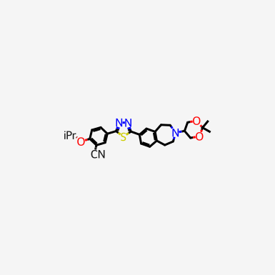 CC(C)Oc1ccc(-c2nnc(-c3ccc4c(c3)CCN(C3COC(C)(C)OC3)CC4)s2)cc1C#N